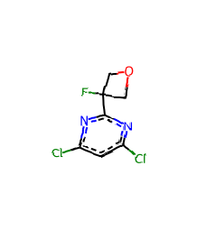 FC1(c2nc(Cl)cc(Cl)n2)COC1